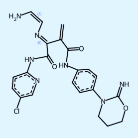 C=C(C(=O)Nc1ccc(N2CCCOC2=N)cc1)/C(=N\C=C/N)C(=O)Nc1ccc(Cl)cn1